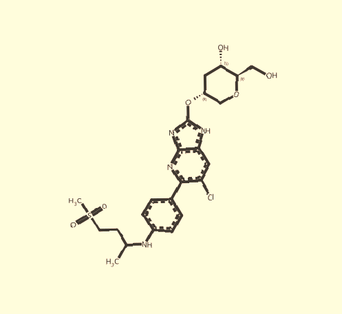 CC(CCS(C)(=O)=O)Nc1ccc(-c2nc3nc(O[C@H]4CO[C@H](CO)[C@@H](O)C4)[nH]c3cc2Cl)cc1